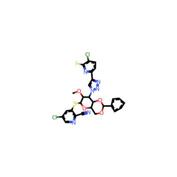 COC1C(Sc2cc(Cl)cnc2C#N)OC2COC(c3ccccc3)OC2C1n1cc(-c2ccc(Cl)c(F)n2)nn1